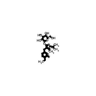 CCc1ccc(Cc2c(O[C@H]3O[C@H](CO)[C@@H](O)[C@H](O)[C@H]3O)nn(C(C)C)c2C)cc1F